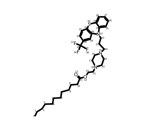 CCCCCCCCCCCC(=O)OCCN1CCN(CCCN2c3ccccc3Sc3ccc(C(F)(F)F)cc32)CC1